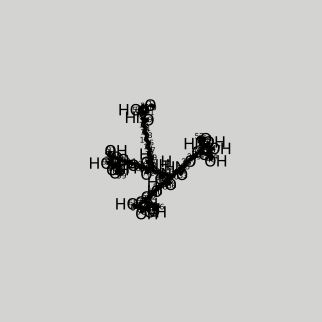 CO[C@@H]1C[C@@H](O)[C@@H](NC(=O)CCCCCCCCCCC(=O)NC(CCC(=O)NC(CCC(=O)NCCOCCOC2OC(CO)C(O)C(O)C2NC(C)=O)C(=O)NCCOCCOC2OC(CO)C(O)C(O)C2NC(C)=O)C(=O)NCCOCCOC2OC(CO)C(O)C(O)C2NC(C)=O)C1